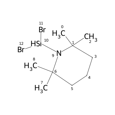 CC1(C)CCCC(C)(C)N1[SiH](Br)Br